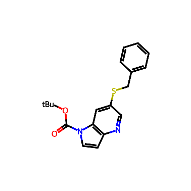 CC(C)(C)OC(=O)n1ccc2ncc(SCc3ccccc3)cc21